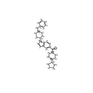 O=C(c1ccc2c(ccn2C2CCN(Cc3ccccc3)CC2)c1)N1CCN(C2CCCC2)CC1